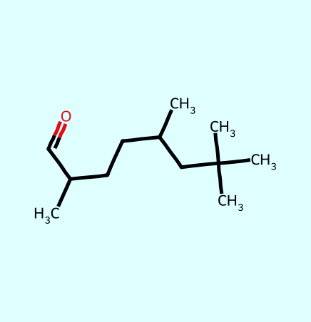 CC(C=O)CCC(C)CC(C)(C)C